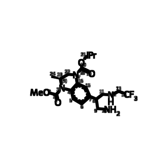 COC(=O)N1c2ccc(C(CN)CNCC(F)(F)F)cc2N(C(=O)OC(C)C)C[C@@H]1C